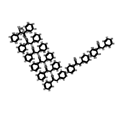 O=C(Cc1ccccc1)c1ccccc1.O=C(Cc1ccccc1)c1ccccc1.O=C(Cc1ccccc1)c1ccccc1.O=C(Cc1ccccc1)c1ccccc1.O=C(Cc1ccccc1)c1ccccc1.O=C(Cc1ccccc1)c1ccccc1.O=C(Cc1ccccc1)c1ccccc1.O=C(c1ccccc1)C([SiH3])c1ccccc1